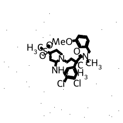 COc1cccc(CN(C)C(=O)C(C)(CCN2CCC(S(C)(=O)=O)CC2N)c2ccc(Cl)c(Cl)c2)c1